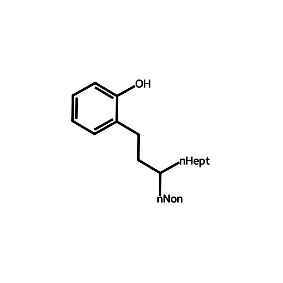 CCCCCCCCCC(CCCCCCC)CCc1ccccc1O